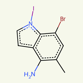 Cc1cc(Br)c2c(ccn2I)c1N